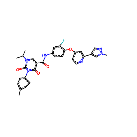 Cc1ccc(-n2c(=O)c(C(=O)Nc3ccc(Oc4ccnc(-c5cnn(C)c5)c4)c(F)c3)cn(C(C)C)c2=O)cc1